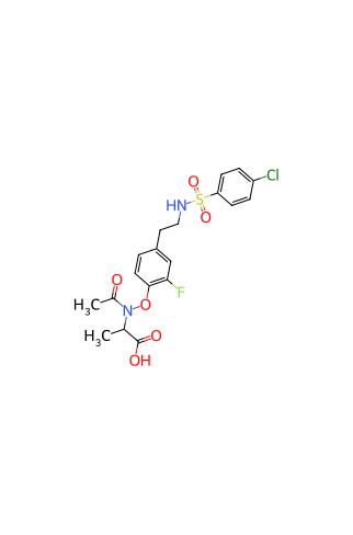 CC(=O)N(Oc1ccc(CCNS(=O)(=O)c2ccc(Cl)cc2)cc1F)C(C)C(=O)O